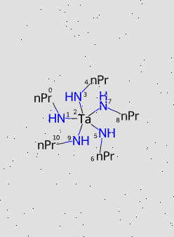 CCC[NH][Ta]([NH]CCC)([NH]CCC)([NH]CCC)[NH]CCC